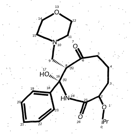 CC(C)OC1CCCC(=O)[C@@H](CN2CCOCC2)[C@](O)(c2ccccc2)NC1=O